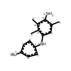 Cc1cc(Nc2ccc(C(C)(C)C)cc2)c(C)c(C)c1[SiH3]